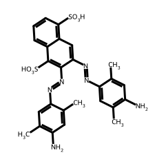 Cc1cc(N=Nc2cc3c(S(=O)(=O)O)cccc3c(S(=O)(=O)O)c2N=Nc2cc(C)c(N)cc2C)c(C)cc1N